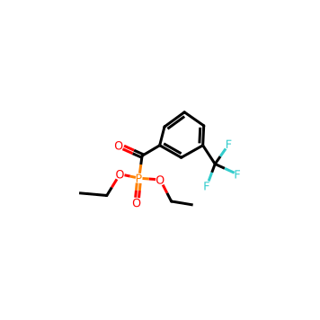 CCOP(=O)(OCC)C(=O)c1cccc(C(F)(F)F)c1